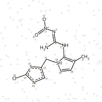 CC1=C(N/C(N)=N/[N+](=O)[O-])[SH](Cc2cnc(Cl)s2)C=C1